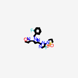 O=S1(=O)CCCN1c1nc(-c2cc(-c3ccon3)n(Cc3ccccc3F)n2)ncc1F